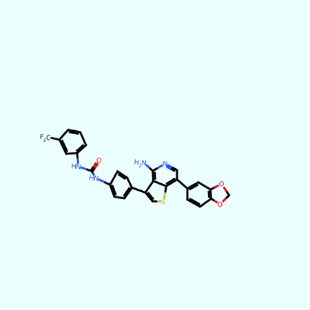 Nc1ncc(-c2ccc3c(c2)OCO3)c2scc(-c3ccc(NC(=O)Nc4cccc(C(F)(F)F)c4)cc3)c12